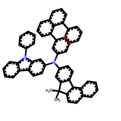 CC1(C)c2cc(N(c3cccc(-c4cccc5cccc(-c6ccccc6)c45)c3)c3ccc4c5ccccc5n(-c5ccccc5)c4c3)ccc2-c2c1ccc1ccccc21